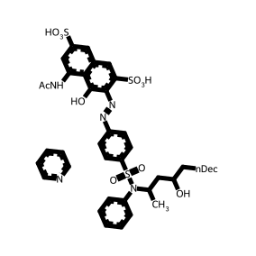 CCCCCCCCCCCC(O)CC(C)N(c1ccccc1)S(=O)(=O)c1ccc(N=Nc2c(S(=O)(=O)O)cc3cc(S(=O)(=O)O)cc(NC(C)=O)c3c2O)cc1.c1ccncc1